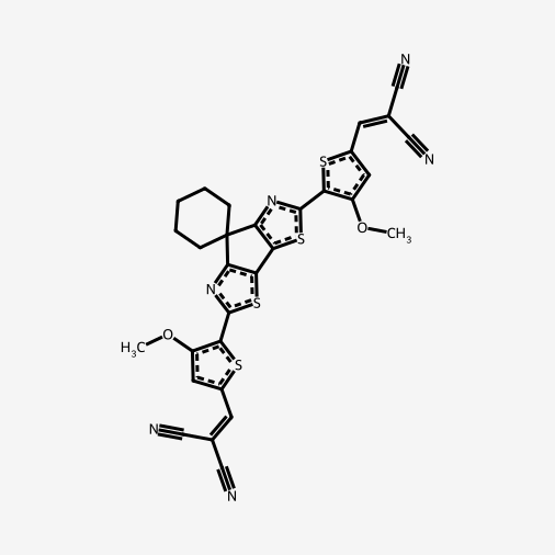 COc1cc(C=C(C#N)C#N)sc1-c1nc2c(s1)-c1sc(-c3sc(C=C(C#N)C#N)cc3OC)nc1C21CCCCC1